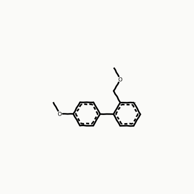 COCc1[c]cccc1-c1ccc(OC)cc1